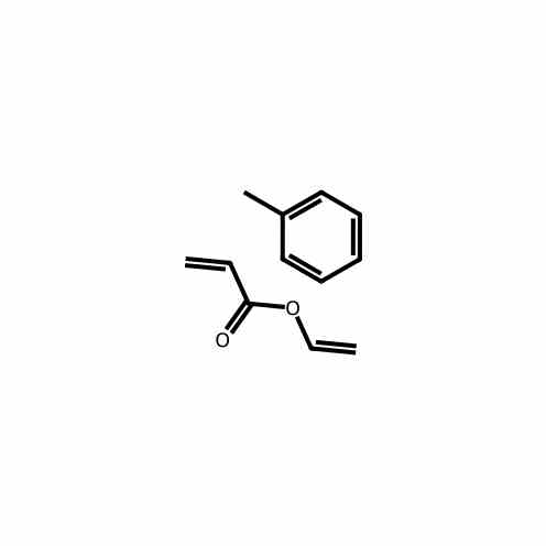 C=COC(=O)C=C.Cc1ccccc1